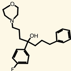 OC(CCCc1ccccc1)(CCCN1CCOCC1)c1ccc(F)cc1